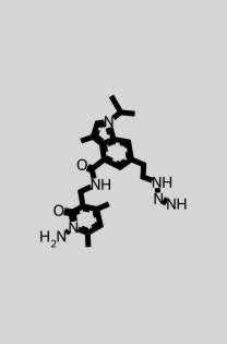 Cc1cc(C)n(N)c(=O)c1CNC(=O)c1cc(CCNN=N)cc2c1c(C)cn2C(C)C